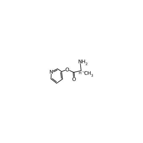 C[C@@H](N)C(=O)Oc1cccnc1